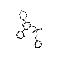 O=S(=O)(CCc1ccccc1)Cc1cc(N2CCOCC2)nc(-c2ccccn2)n1